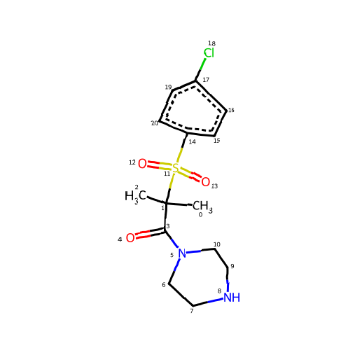 CC(C)(C(=O)N1CCNCC1)S(=O)(=O)c1ccc(Cl)cc1